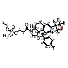 CCOP(N)(=O)OCCC(=O)N1CC[C@]2(S(=O)(=O)c3ccc(F)cc3)c3ccc(C(F)(C(F)(F)F)C(F)(F)F)cc3CC[C@H]12